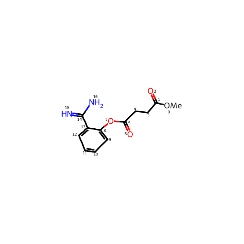 COC(=O)CCC(=O)Oc1ccccc1C(=N)N